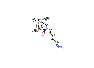 CCCC(C)(C)CN(CCCCCN)C(=O)OC(C)(C)C